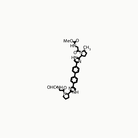 COC(=O)NCC(=O)N1C(c2nc(-c3ccc(-c4ccc(-c5c[nH]c(C6CCCN6C(=O)CNC=O)n5)cc4)cc3)c[nH]2)CC[C@H]1C